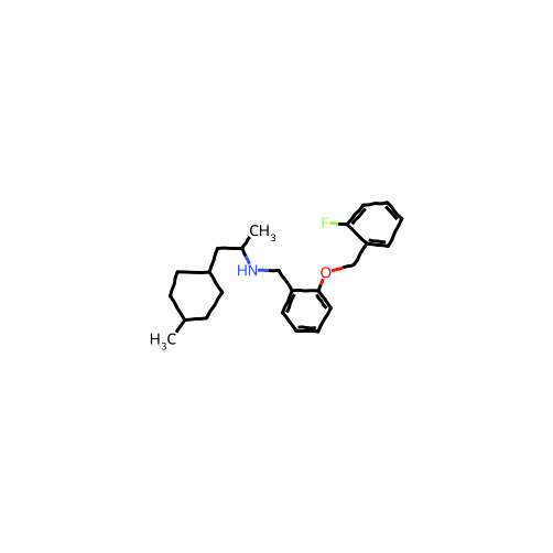 CC1CCC(CC(C)NCc2ccccc2OCc2ccccc2F)CC1